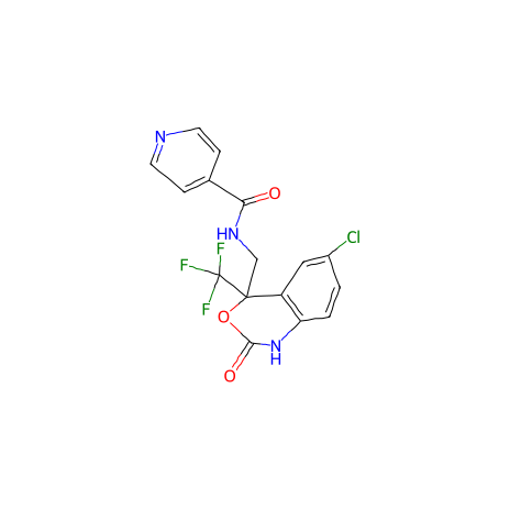 O=C1Nc2ccc(Cl)cc2C(CNC(=O)c2ccncc2)(C(F)(F)F)O1